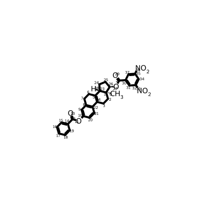 C[C@]12CCC3=C(CCc4cc(OC(=O)c5ccccc5)ccc43)[C@@H]1CC[C@H]2OC(=O)c1cc([N+](=O)[O-])cc([N+](=O)[O-])c1